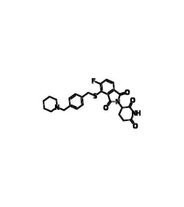 O=C1CCC(N2C(=O)c3ccc(F)c(SCc4ccc(CN5CCCCC5)cc4)c3C2=O)C(=O)N1